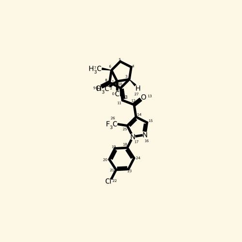 CC1(C)[C@@H]2CC[C@@]1(C)C(=O)/C2=C/C(=O)c1cnn(-c2ccc(Cl)cc2)c1C(F)(F)F